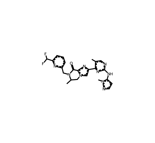 Cc1cnc(Nc2ccnn2C)nc1-c1cn2c(n1)C(=O)N(Cc1cccc(C(F)F)n1)C(C)C2